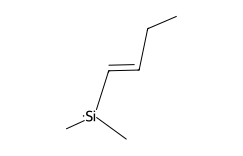 CC/C=C/[Si](C)C